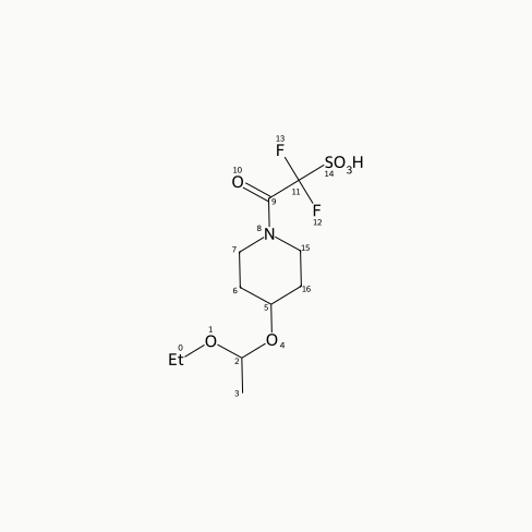 CCOC(C)OC1CCN(C(=O)C(F)(F)S(=O)(=O)O)CC1